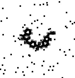 CC(NC(=O)Nc1ccc(S(=O)(=O)Cc2ccc3c(c2)CN(CC#N)C3)cc1)c1ccccc1